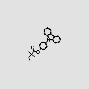 CCC(C)(C)C(=O)Oc1ccc(-n2c3ccccc3c3ccccc32)cc1